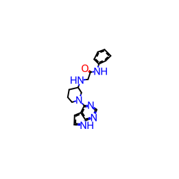 O=C(CNC1CCCN(c2ncnc3[nH]ccc23)C1)Nc1ccccc1